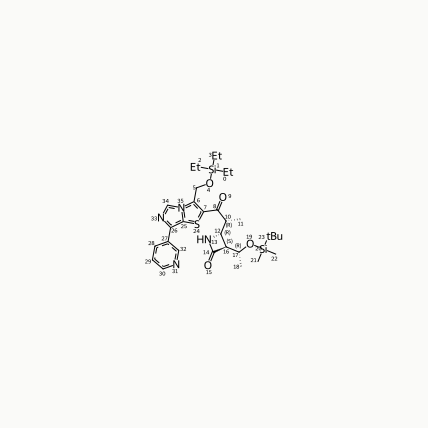 CC[Si](CC)(CC)OCc1c(C(=O)[C@H](C)[C@H]2NC(=O)[C@@H]2[C@@H](C)O[Si](C)(C)C(C)(C)C)sc2c(-c3cccnc3)ncn12